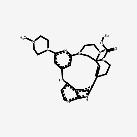 CN1CCN(c2cc3cc(n2)N2CCN(C)C4(C=C(CCN4C(=O)OC(C)(C)C)c4cc5c(ccnc5[nH]4)N3)C2)CC1